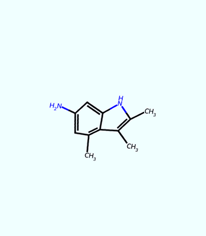 Cc1[nH]c2cc(N)cc(C)c2c1C